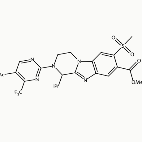 COC(=O)c1cc2nc3n(c2cc1S(C)(=O)=O)CCN(c1ncc(C(C)=O)c(C(F)(F)F)n1)C3C(C)C